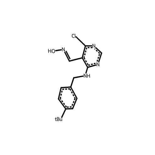 CC(C)(C)c1ccc(CNc2ncnc(Cl)c2/C=N/O)cc1